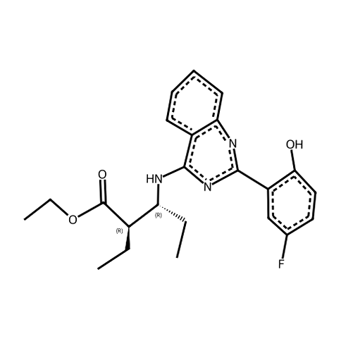 CCOC(=O)[C@H](CC)[C@@H](CC)Nc1nc(-c2cc(F)ccc2O)nc2ccccc12